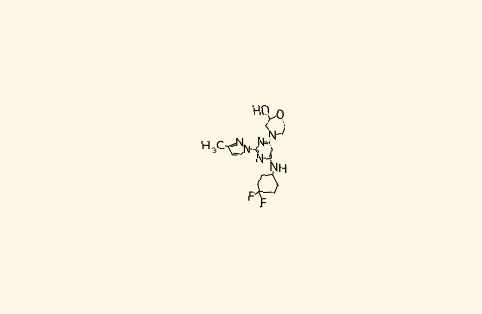 Cc1ccn(-c2nc(NC3CCC(F)(F)CC3)cc(N3CCOC(O)C3)n2)n1